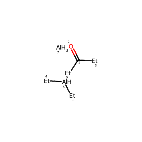 CCC(=O)CC.C[CH2][AlH][CH2]C.[AlH3]